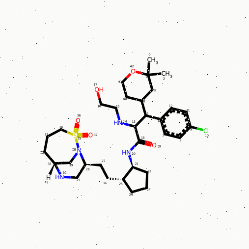 CC1(C)CC(C(c2ccc(Cl)cc2)C(NCCO)C(=O)N[C@H]2CCC[C@@H]2CC[C@H]2CN[C@@H]3CCCS(=O)(=O)N2C3)CCO1